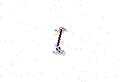 CC(C)(C)C(=O)CCC(S)CCCCC(S)CCC(=O)N1CCN(C(C)(C)C)CC1